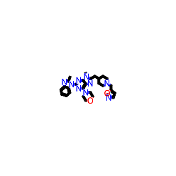 Cc1nc2ccccc2n1-c1nc(N2CCOCC2)c2nc(CC3CCN(Cc4ccno4)CC3)n(C)c2n1